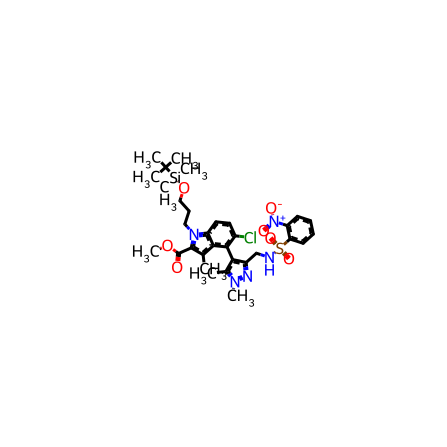 COC(=O)c1c(C)c2c(-c3c(CNS(=O)(=O)c4ccccc4[N+](=O)[O-])nn(C)c3C)c(Cl)ccc2n1CCCO[Si](C)(C)C(C)(C)C